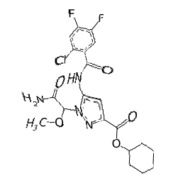 COC(C(N)=O)n1nc(C(=O)OC2CCCCC2)cc1NC(=O)c1cc(F)c(F)cc1Cl